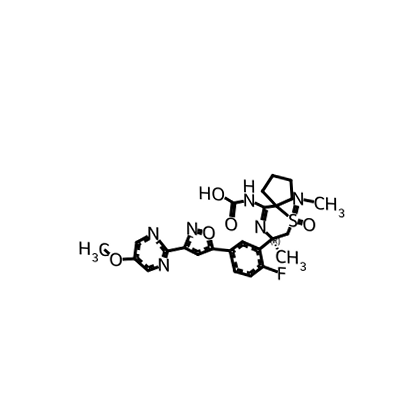 CN=S1(=O)C[C@@](C)(c2cc(-c3cc(-c4ncc(OC)cn4)no3)ccc2F)N=C(NC(=O)O)C12CCCC2